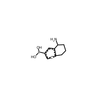 NC1CCCc2ccc(B(O)O)cc21